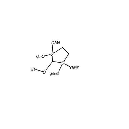 CCOC1[Si](OC)(OC)CC[Si]1(OC)OC